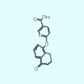 O=C(O)c1ccc(Oc2cccc3c2CCCC3=O)nc1